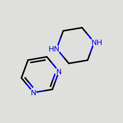 C1CNCCN1.c1cncnc1